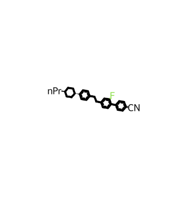 CCC[C@H]1CC[C@H](c2ccc(CCc3ccc(-c4ccc(C#N)cc4)c(F)c3)cc2)CC1